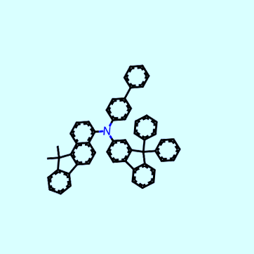 CC1(C)c2ccccc2-c2ccc3c(N(c4ccc(-c5ccccc5)cc4)c4ccc5c(c4)C(c4ccccc4)(c4ccccc4)c4ccccc4-5)cccc3c21